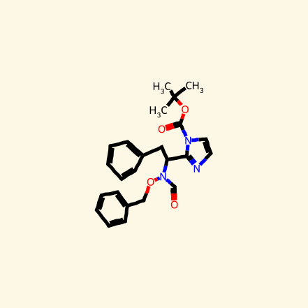 CC(C)(C)OC(=O)n1ccnc1C(Cc1ccccc1)N(C=O)OCc1ccccc1